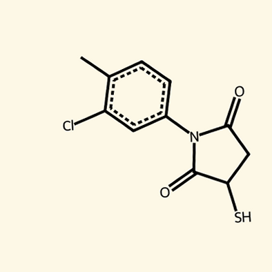 Cc1ccc(N2C(=O)CC(S)C2=O)cc1Cl